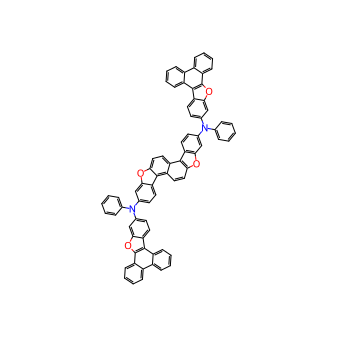 c1ccc(N(c2ccc3c(c2)oc2ccc4c(ccc5oc6cc(N(c7ccccc7)c7ccc8c(c7)oc7c9ccccc9c9ccccc9c87)ccc6c54)c23)c2ccc3c(c2)oc2c4ccccc4c4ccccc4c32)cc1